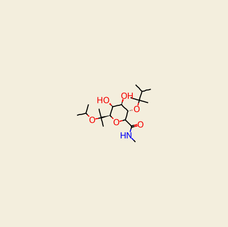 CNC(=O)C1O[C@@H](C(C)(C)OC(C)C)[C@@H](O)[C@@H](O)[C@@H]1OC(C)(C)C(C)C